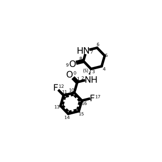 O=C(N[C@H]1CCCNC1=O)c1c(F)cccc1F